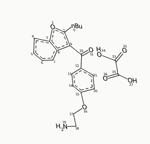 CCCCc1oc2ccccc2c1C(=O)c1ccc(OCCN)cc1.O=C(O)C(=O)O